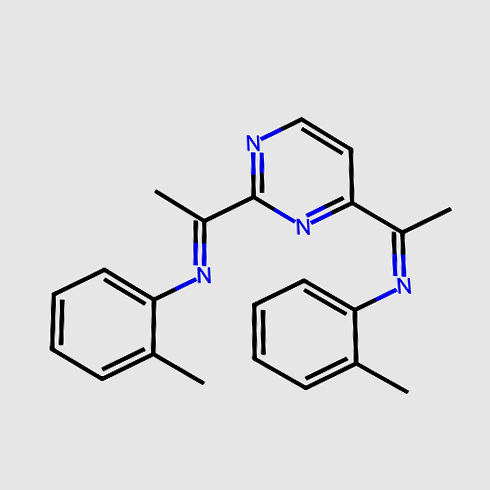 CC(=Nc1ccccc1C)c1ccnc(C(C)=Nc2ccccc2C)n1